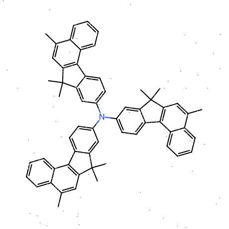 Cc1cc2c(c3ccccc13)-c1ccc(N(c3ccc4c(c3)C(C)(C)c3cc(C)c5ccccc5c3-4)c3ccc4c(c3)C(C)(C)c3cc(C)c5ccccc5c3-4)cc1C2(C)C